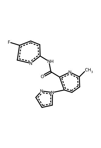 Cc1ccc(-n2cccn2)c(C(=O)Nc2ccc(F)cn2)n1